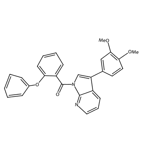 COc1ccc(-c2cn(C(=O)c3ccccc3Oc3ccccc3)c3ncccc23)cc1OC